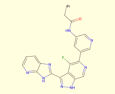 CC(C)CC(=O)Nc1cncc(-c2ncc3[nH]nc(-c4nc5cccnc5[nH]4)c3c2F)c1